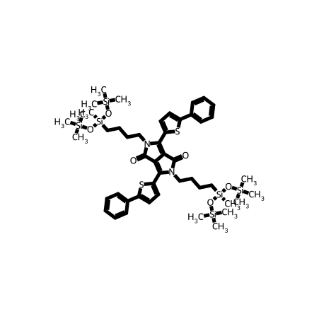 C[Si](C)(C)O[Si](C)(CCCCN1C(=O)C2=C(c3ccc(-c4ccccc4)s3)N(CCCC[Si](C)(O[Si](C)(C)C)O[Si](C)(C)C)C(=O)C2=C1c1ccc(-c2ccccc2)s1)O[Si](C)(C)C